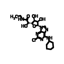 CCNC(=O)C(O)[C@H]1O[C@@H](n2cnc3c(NC4CCCCC4)nc(Cl)nc32)[C@H](O)[C@@H]1O